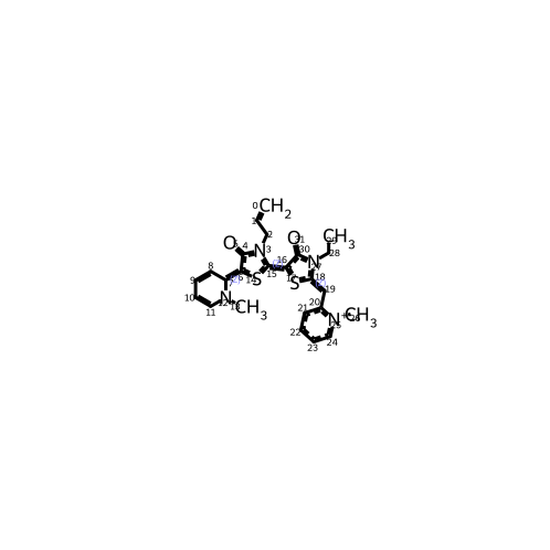 C=CCn1c(=O)/c(=C2\C=CC=CN2C)s/c1=c1\s/c(=C\c2cccc[n+]2C)n(CC)c1=O